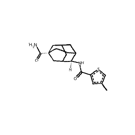 Cc1csc(C(=O)N[C@H]2C3CC4CC2C[C@](C(N)=O)(C4)C3)c1